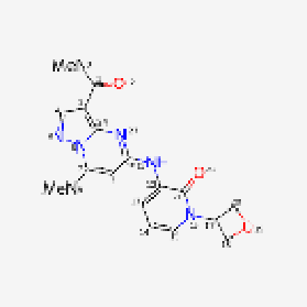 CNC(=O)c1cnn2c(NC)cc(Nc3cccn(C4COC4)c3=O)nc12